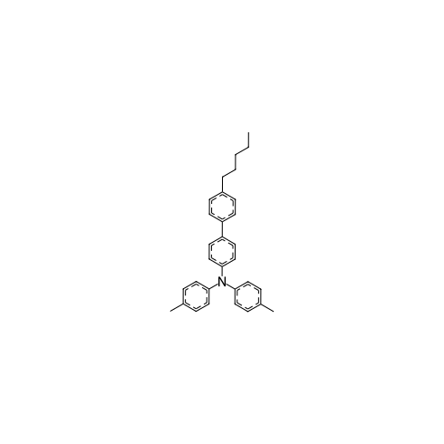 CCCCCc1ccc(-c2ccc(N(c3ccc(C)cc3)c3ccc(C)cc3)cc2)cc1